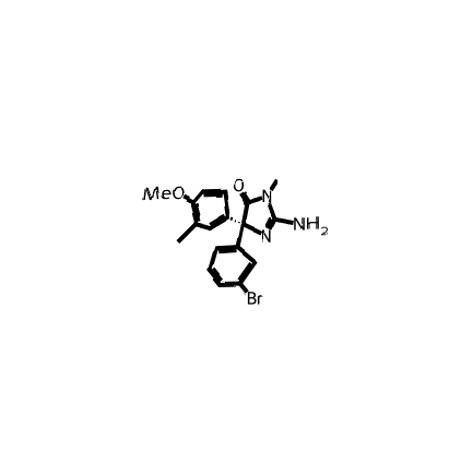 COc1ccc([C@@]2(c3cccc(Br)c3)N=C(N)N(C)C2=O)cc1C